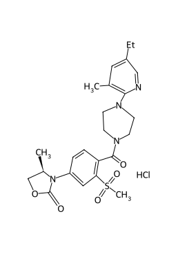 CCc1cnc(N2CCN(C(=O)c3ccc(N4C(=O)OC[C@H]4C)cc3S(C)(=O)=O)CC2)c(C)c1.Cl